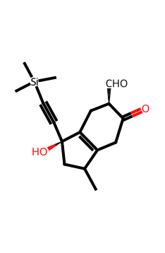 CC1C[C@](O)(C#C[Si](C)(C)C)C2=C1CC(=O)[C@H](C=O)C2